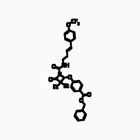 CCC1(CC)C(=O)N(C(=O)NCCC=Cc2ccc(OC(F)(F)F)cc2)[C@H]1Oc1ccc(C(=O)OCc2ccccc2)cc1